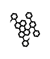 Ic1ccccc1-c1ccc2c3ccc(-c4ccccc4I)c4ccc(-c5cc(-c6ccccc6)ccc5-c5ccccc5)c(c5cccc1c25)c43